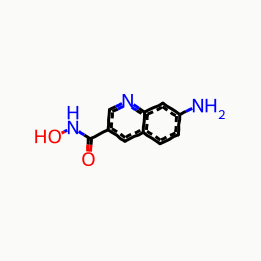 Nc1ccc2cc(C(=O)NO)cnc2c1